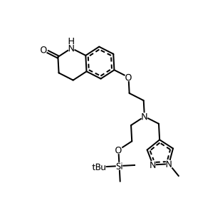 Cn1cc(CN(CCOc2ccc3c(c2)CCC(=O)N3)CCO[Si](C)(C)C(C)(C)C)cn1